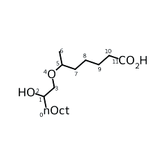 CCCCCCCCC(O)COC(C)CCCCC(=O)O